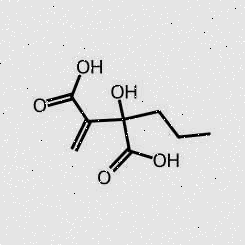 C=C(C(=O)O)C(O)(CCC)C(=O)O